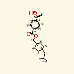 C=C(C)CC1CCC(COC(=O)c2ccc(C(=C)O)cc2)CC1